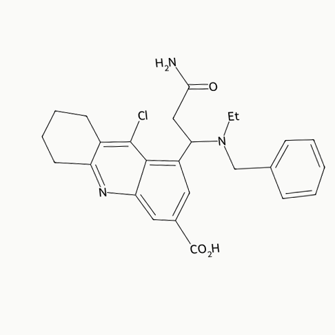 CCN(Cc1ccccc1)C(CC(N)=O)c1cc(C(=O)O)cc2nc3c(c(Cl)c12)CCCC3